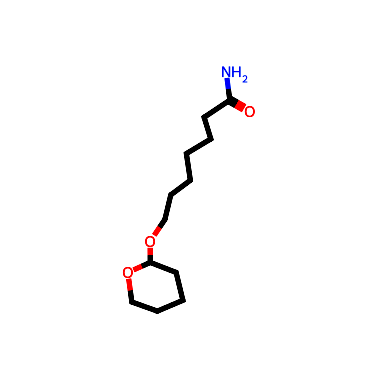 NC(=O)CCCCCCOC1CCCCO1